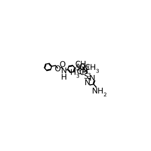 C[Si](C)(CSc1ncc(CN)cn1)O[Si](C)(C)c1ccc(NC(=O)OCc2ccccc2)cc1